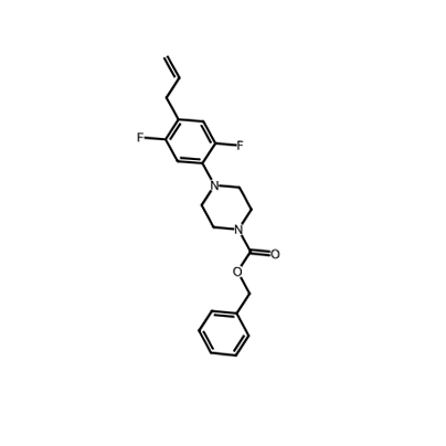 C=CCc1cc(F)c(N2CCN(C(=O)OCc3ccccc3)CC2)cc1F